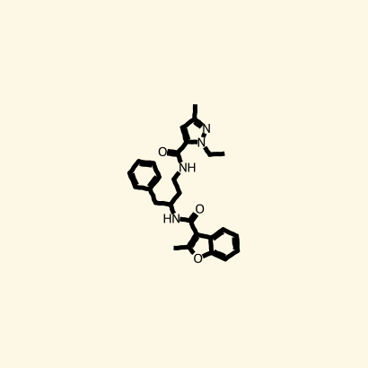 CCn1nc(C)cc1C(=O)NCCC(Cc1ccccc1)NC(=O)c1c(C)oc2ccccc12